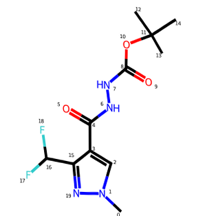 Cn1cc(C(=O)NNC(=O)OC(C)(C)C)c(C(F)F)n1